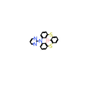 c1cnc(N2c3cccc4c3B3c5c(cccc5Sc5cccc2c53)S4)nc1